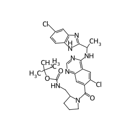 CC(Nc1ncnc2cc(C(=O)N3CCCC3CNC(=O)OC(C)(C)C)c(Cl)cc12)c1nc2cc(Cl)ccc2[nH]1